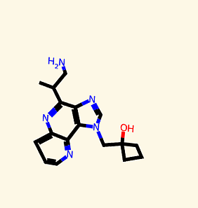 CC(CN)c1nc2cccnc2c2c1ncn2CC1(O)CCC1